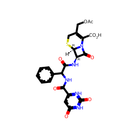 CC(=O)OCC1=C(C(=O)O)N2C(=O)[C@@H](NC(=O)C(NC(=O)c3cc(=O)[nH]c(=O)[nH]3)c3ccccc3)[C@H]2SC1